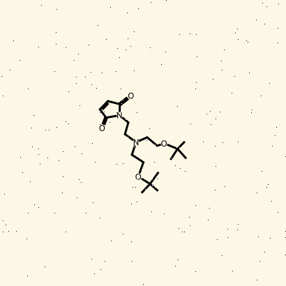 CC(C)(C)OCCN(CCOC(C)(C)C)CCN1C(=O)C=CC1=O